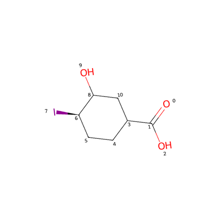 O=C(O)C1CC[C@@H](I)C(O)C1